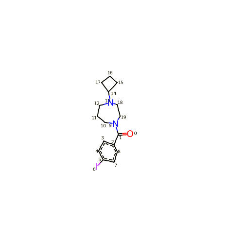 O=C(c1ccc(I)cc1)N1CCCN(C2CCC2)CC1